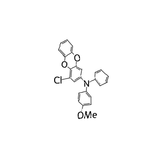 COc1ccc(N(c2ccccc2)c2cc(Cl)c3c(c2)Oc2ccccc2O3)cc1